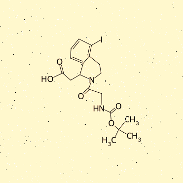 CC(C)(C)OC(=O)NCC(=O)N1CCc2c(I)cccc2C1CC(=O)O